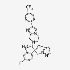 C[C@@H](N1CCn2cc(-c3ccc(C(F)(F)F)cc3)nc2C1)[C@](O)(Cn1cncn1)c1ccc(F)cc1F